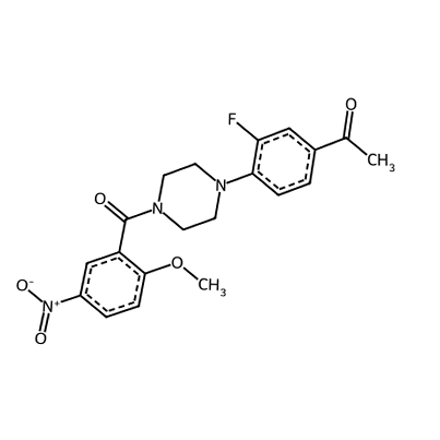 COc1ccc([N+](=O)[O-])cc1C(=O)N1CCN(c2ccc(C(C)=O)cc2F)CC1